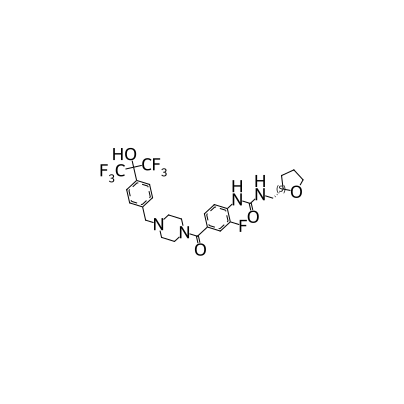 O=C(NC[C@@H]1CCCO1)Nc1ccc(C(=O)N2CCN(Cc3ccc(C(O)(C(F)(F)F)C(F)(F)F)cc3)CC2)cc1F